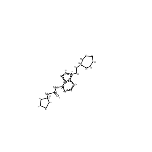 O=C(Nc1ncnc2c1cnn2CCN1CCCCCC1)NC1CCCC1